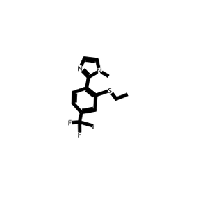 CCSc1cc(C(F)(F)F)ccc1-c1nccn1C